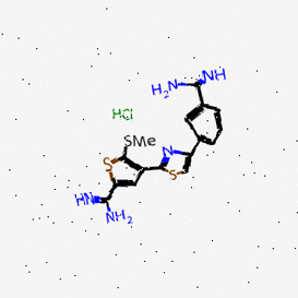 CSc1sc(C(=N)N)cc1-c1nc(-c2cccc(C(=N)N)c2)cs1.Cl